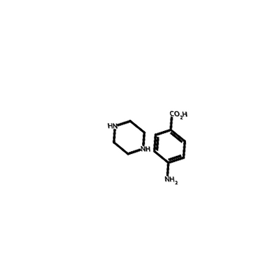 C1CNCCN1.Nc1ccc(C(=O)O)cc1